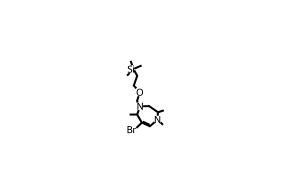 CC1CN(COCC[Si](C)(C)C)C(C)C(Br)=CN1C